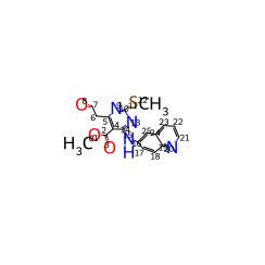 COC(=O)c1c(CC=O)nc(SC)nc1Nc1ccc2ncccc2c1